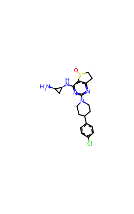 N[C@@H]1C[C@@H]1Nc1nc(N2CCC(c3ccc(Cl)cc3)CC2)nc2c1[S+]([O-])CC2